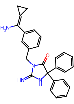 N=C1NC(c2ccccc2)(c2ccccc2)C(=O)N1Cc1cccc(C(N)=C2CC2)c1